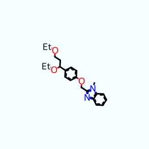 CCOCCC(OCC)c1ccc(OCc2nc3ccccc3n2C)cc1